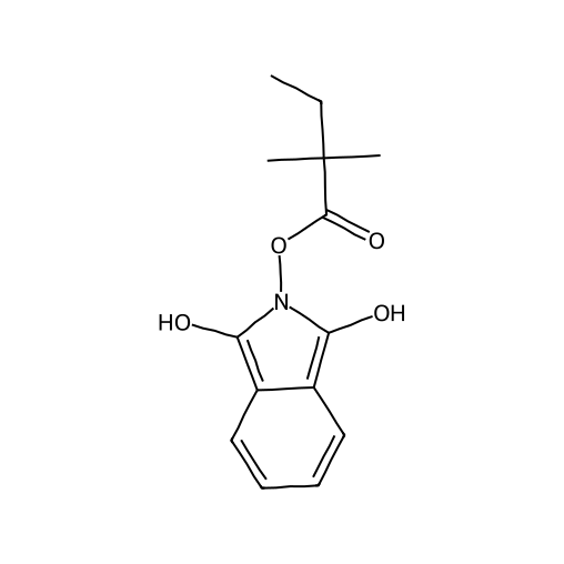 CCC(C)(C)C(=O)On1c(O)c2ccccc2c1O